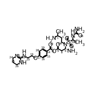 CC(N)CCN([C@H](N)CC(=O)OC(=O)c1ccc(OCCNC2=NCCCN2)cc1)S(=O)(=O)C(C)NC(N)=O